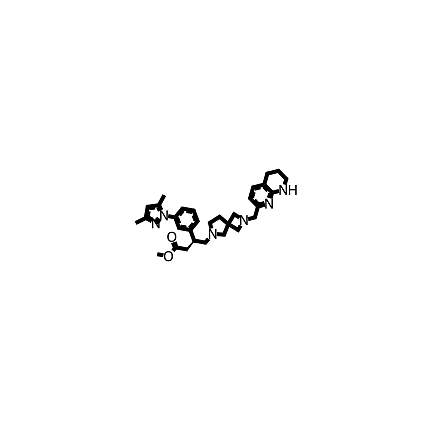 COC(=O)C[C@H](CN1CCC2(C1)CN(Cc1ccc3c(n1)NCCC3)C2)c1cccc(-n2nc(C)cc2C)c1